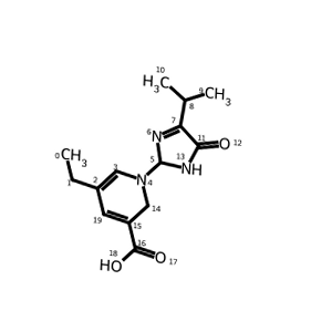 CCC1=CN(C2N=C(C(C)C)C(=O)N2)CC(C(=O)O)=C1